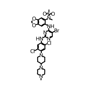 CN1CCN(C2CCN(c3cc(Cl)c(Nc4ncc(Br)c(Nc5cc6c(cc5N(C)S(C)(=O)=O)OCO6)n4)cc3Cl)CC2)CC1